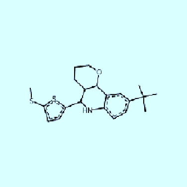 CSc1ccc(C2Nc3ccc(C(C)(C)C)cc3C3OCCCC23)s1